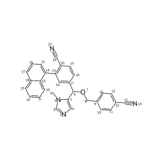 Cn1cncc1C(OCc1ccc(C#N)cc1)c1ccc(C#N)c(-c2cccc3ccccc23)c1